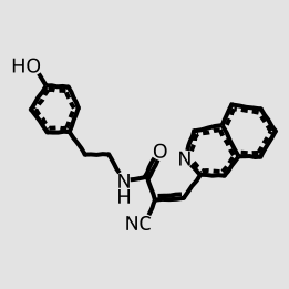 N#CC(=Cc1cc2ccccc2cn1)C(=O)NCCc1ccc(O)cc1